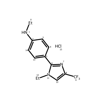 CCNc1ccc(-c2nc(C(F)(F)F)cn2CC)cc1.Cl